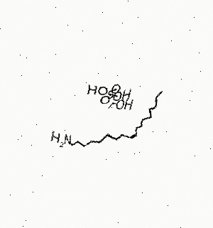 CCCCCCCC/C=C\CCCCCCCCN.CCO.O=S(=O)(O)O